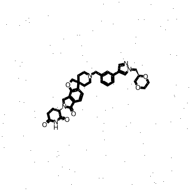 O=C1CC[C@H](N2Cc3c(ccc4c3OCC43CCN(Cc4cccc(-c5cnn(C[C@@H]6COCCO6)c5)c4)CC3)C2=O)C(=O)N1